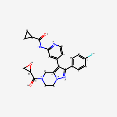 O=C(Nc1cc(-c2c(-c3ccc(F)cc3)nn3c2CN(C(=O)C2CO2)CC3)ccn1)C1CC1